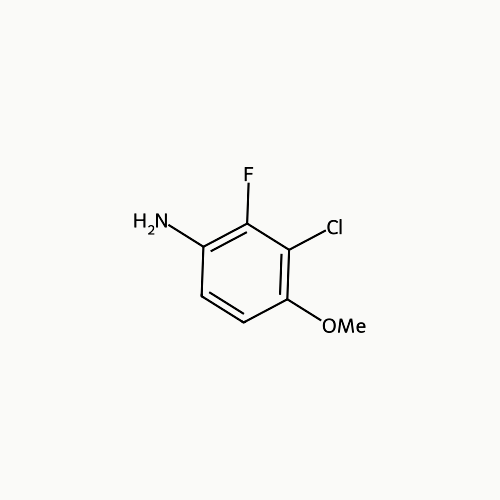 COc1ccc(N)c(F)c1Cl